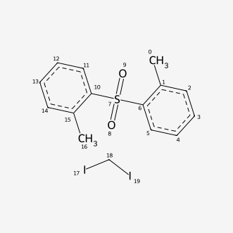 Cc1ccccc1S(=O)(=O)c1ccccc1C.ICI